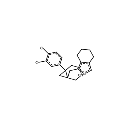 Clc1ccc(C23CCNCC2(Cn2ncc4c2CCCC4)C3)cc1Cl